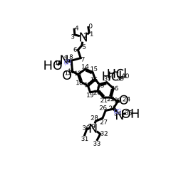 CCN(CC)CCC/C(=N/O)C(=O)c1ccc2c(c1)Cc1cc(C(=O)/C(CCCN(CC)CC)=N\O)ccc1-2.Cl.Cl